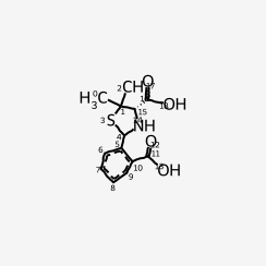 CC1(C)SC(c2ccccc2C(=O)O)N[C@H]1C(=O)O